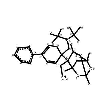 CC12CC3(C)OC(C)(CC(C)(O1)C3(CP)C1(CP(C(C)(C)C)C(C)(C)C)C=CC(c3ccccc3)=CC1)O2